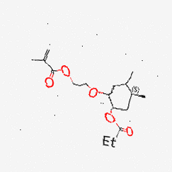 C=C(C)C(=O)OCCOC1CC(C)[C@@H](C)CC1OC(=O)CC